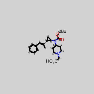 C/C(=C\c1ccccc1)[C@@H]1C[C@H]1N(C(=O)OC(C)(C)C)C1CCN(CC(=O)O)CC1